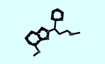 CNCCC(c1ccccc1)n1cc2cccc(OC)c2n1